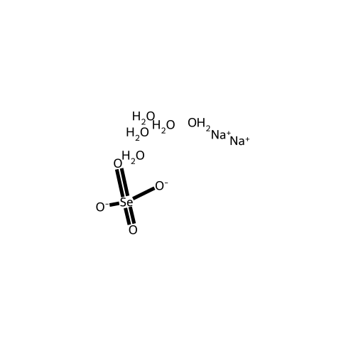 O.O.O.O.O.O=[Se](=O)([O-])[O-].[Na+].[Na+]